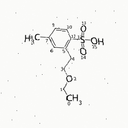 CCOCCc1cc(C)ccc1S(=O)(=O)O